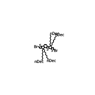 CCCCCCCCCCCCCCCCCC1(CCCCCCCCCCCCCCCCC)c2cc(Br)sc2-c2sc3c4c(ccc3c21)-c1sc(Br)cc1C4(CCCCCCCCCCCCCCCCC)CCCCCCCCCCCCCCCCC